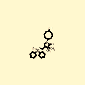 CC1(C)C(=O)N(C2CCCC(O)CCC2)CC1CO[Si](c1ccccc1)(c1ccccc1)C(C)(C)C